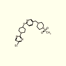 CCc1cnc(N2CCC(Oc3ccc(CN4CCN(S(C)(=O)=O)CC4)cn3)CC2)nc1